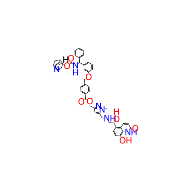 Cn1nc(COC(=O)c2ccc(COc3cccc(C(NC(=O)O[C@H]4CN5CCC4CC5)c4ccccc4)c3)cc2)cc1CNCC(O)c1ccc(O)c2[nH]c(=O)ccc12